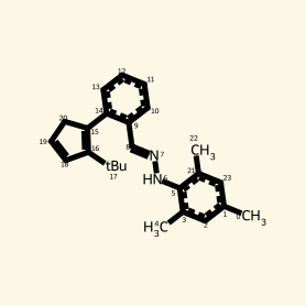 Cc1cc(C)c(NN=Cc2ccccc2C2=C(C(C)(C)C)C=CC2)c(C)c1